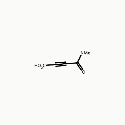 CNC(=O)C#CC(=O)O